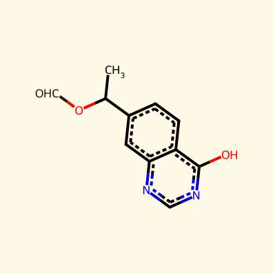 CC(OC=O)c1ccc2c(O)ncnc2c1